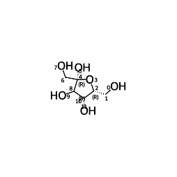 OC[C@H]1O[C@](O)(CO)C(O)[C@H]1O